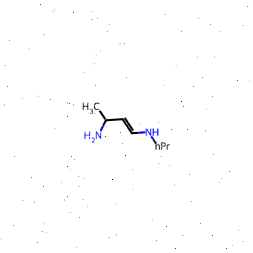 CCCN/C=C/C(C)N